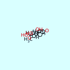 C[C@H]1C[C@H]2[C@@H]3CCC4=CC(=O)C=C[C@]4(C)[C@@]3(C)[C@@H](O)C[C@]2(C)[C@@]1(O)C(=O)CO